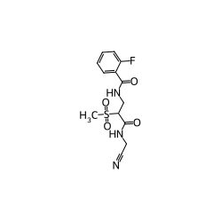 CS(=O)(=O)C(CNC(=O)c1ccccc1F)C(=O)NCC#N